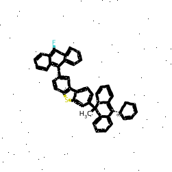 CC1(c2ccc3c(c2)sc2ccc(-c4c5ccccc5c(F)c5ccccc45)cc23)c2ccccc2C([C@H]2C=CC=CC2)=C2C=CC=CC21